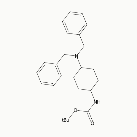 CC(C)(C)OC(=O)NC1CCC(N(Cc2ccccc2)Cc2ccccc2)CC1